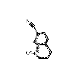 N#Cc1ccc2ccc[n+]([O-])c2c1